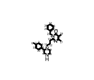 Cc1ccc(C2CNCCN2CCCc2nc(C)c(C)c(=O)n2Cc2ccccc2)cc1